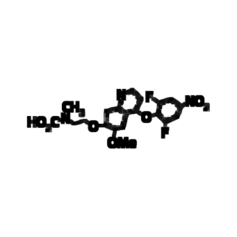 COc1cc2c(Oc3c(F)cc([N+](=O)[O-])cc3F)ccnc2cc1OCCN(C)C(=O)O